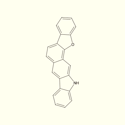 c1ccc2c(c1)[nH]c1cc3c(ccc4c5ccccc5oc34)cc12